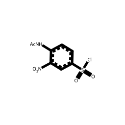 CC(=O)Nc1ccc(S(=O)(=O)Cl)cc1[N+](=O)[O-]